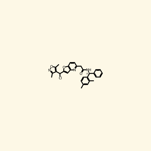 Cc1ccc([C@@H](NC(=O)Cc2ccc3oc(C(Cl)c4c(C)noc4C)cc3n2)c2ccccc2)c(C)c1